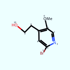 COc1cnc(Br)cc1CCO